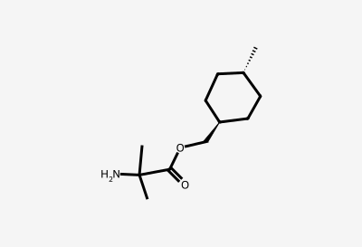 CC(C)(N)C(=O)OC[C@H]1CC[C@H](C)CC1